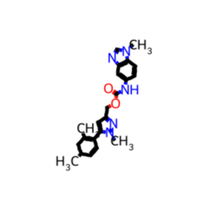 CC1=C(c2cc(COC(=O)Nc3ccc4c(c3)ncn4C)nn2C)C=CC(C)C1